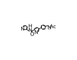 CC(=O)N(C)Cc1ccc(-c2ccc(C(=O)NCc3cccnc3)nc2)cc1